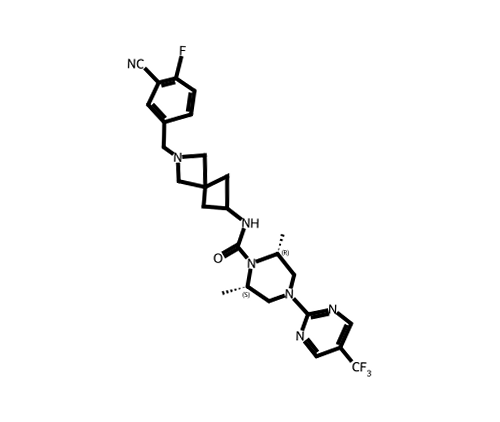 C[C@@H]1CN(c2ncc(C(F)(F)F)cn2)C[C@H](C)N1C(=O)NC1CC2(C1)CN(Cc1ccc(F)c(C#N)c1)C2